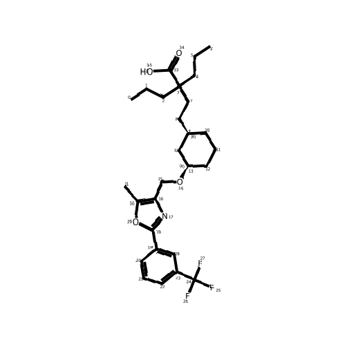 CCCC(CCC)(CC[C@H]1CCC[C@@H](OCc2nc(-c3cccc(C(F)(F)F)c3)oc2C)C1)C(=O)O